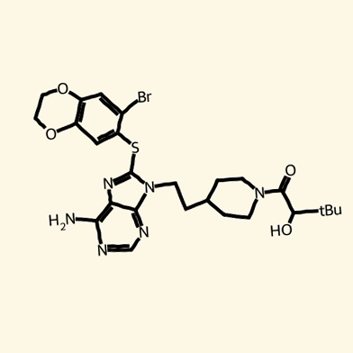 CC(C)(C)C(O)C(=O)N1CCC(CCn2c(Sc3cc4c(cc3Br)OCCO4)nc3c(N)ncnc32)CC1